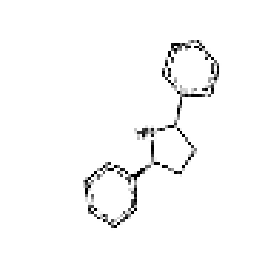 c1ccc(C2CC[C@@H](c3ccccc3)N2)cc1